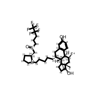 C[C@]12C[C@H](F)[C@@H]3c4ccc(O)cc4C[C@@H](CCCCCN4CCC[C@H]4C[S+]([O-])CCCC(F)(F)C(F)(F)F)[C@H]3[C@@H]1CC[C@@H]2O